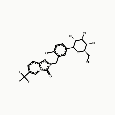 O=c1n(Cc2cc([C@@H]3O[C@H](CO)[C@@H](O)[C@H](O)[C@H]3O)ccc2Cl)nc2ccc(C(F)(F)F)cn12